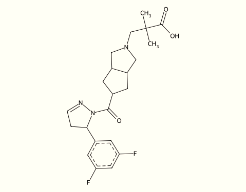 CC(C)(CN1CC2CC(C(=O)N3N=CCC3c3cc(F)cc(F)c3)CC2C1)C(=O)O